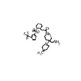 CN1CCN(C2(CN)CCN(C(=O)CC3CCCCN3S(=O)(=O)c3cccc(C(F)(F)F)c3)CC2)CC1